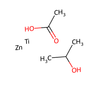 CC(=O)O.CC(C)O.[Ti].[Zn]